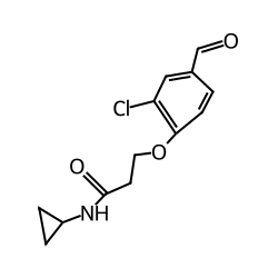 O=Cc1ccc(OCCC(=O)NC2CC2)c(Cl)c1